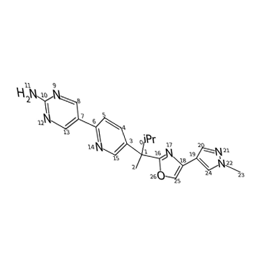 CC(C)C(C)(c1ccc(-c2cnc(N)nc2)nc1)c1nc(-c2cnn(C)c2)co1